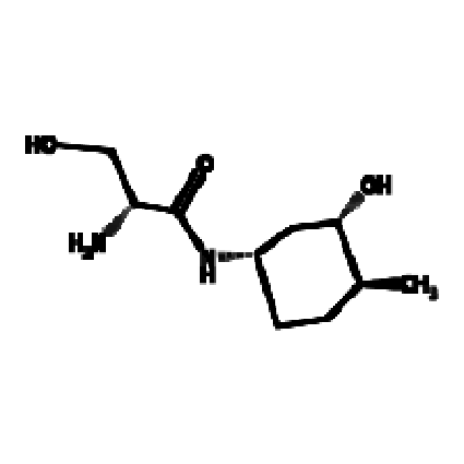 C[C@H]1CC[C@H](NC(=O)[C@H](N)CO)C[C@@H]1O